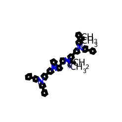 C=Cc1c(/C=C\C)n(-c2cccc(-c3cccc4c3c3ccccc3n4-c3ccc(-c4ccc(N(c5ccc(-c6ccccc6)cc5)c5ccc(-c6ccccc6)cc5)cc4)cc3)c2)c2ccc(-c3ccc(N(c4ccc(-c5ccccc5)cc4)c4ccc5c(c4)C(C)(C)c4ccccc4-5)cc3)cc12